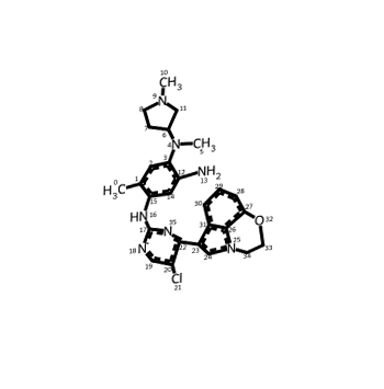 Cc1cc(N(C)C2CCN(C)C2)c(N)cc1Nc1ncc(Cl)c(-c2cn3c4c(cccc24)OCC3)n1